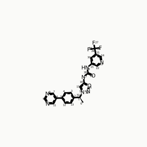 C[C@@H](c1ccc(-c2cncnc2)cc1)[n+]1cc([N-]C(=O)Nc2cncc(C(F)(F)F)c2)on1